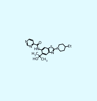 CCC1CCN(c2nc3cc(C(C)(C)O)c(NC(=O)c4ccncn4)cc3s2)CC1